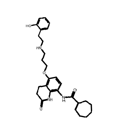 O=C1CCc2c(OCCCNCCc3ccccc3O)ccc(NC(=O)C3CCCCCC3)c2N1